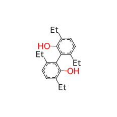 CCc1ccc(CC)c(-c2c(CC)ccc(CC)c2O)c1O